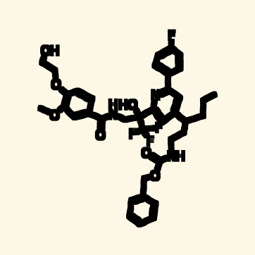 CCCC(CCNC(=O)OCc1ccccc1)c1cc(-c2ccc(F)cc2)nc(C(O)(CNC(=O)c2ccc(OCCO)c(OC)c2)C(F)(F)F)c1